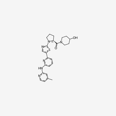 Cc1ccnc(Nc2cccc(-c3cnc(N4CCC[C@H]4C(=O)N4CCC(O)CC4)s3)n2)c1